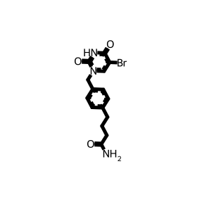 NC(=O)CCCc1ccc(Cn2cc(Br)c(=O)[nH]c2=O)cc1